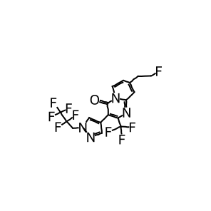 O=c1c(-c2cnn(CC(F)(F)C(F)(F)F)c2)c(C(F)(F)F)nc2cc(CCF)ccn12